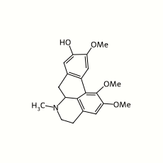 COc1cc2c(cc1O)CC1c3c(cc(OC)c(OC)c3-2)CCN1C